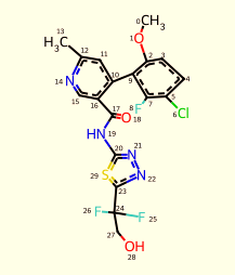 COc1ccc(Cl)c(F)c1-c1cc(C)ncc1C(=O)Nc1nnc(C(F)(F)CO)s1